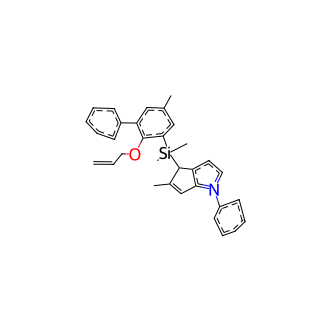 C=CCOc1c(-c2ccccc2)cc(C)cc1[Si](C)(C)C1C(C)=Cc2c1ccn2-c1ccccc1